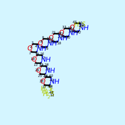 C1COCCN1.C1COCCN1.C1COCCN1.C1COCCN1.C1COCCN1.C1COCCN1.C1COCCN1.C1COCCN1.S.S.S.S